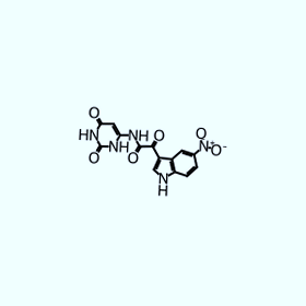 O=C(Nc1cc(=O)[nH]c(=O)[nH]1)C(=O)c1c[nH]c2ccc([N+](=O)[O-])cc12